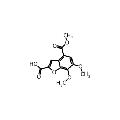 COC(=O)c1cc(OC)c(OC)c2oc(C(=O)O)cc12